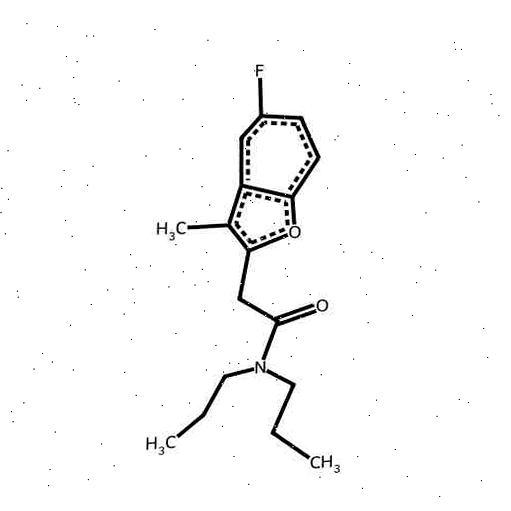 CCCN(CCC)C(=O)Cc1oc2ccc(F)cc2c1C